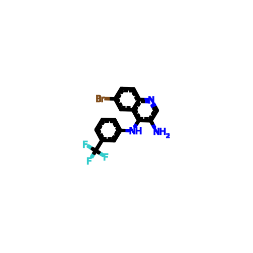 Nc1cnc2ccc(Br)cc2c1Nc1cccc(C(F)(F)F)c1